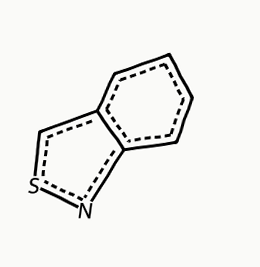 c1ccc2nscc2c1